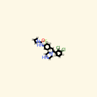 O=C(NC1CCC(CC(c2cccc(Cl)c2Cl)N2CCNCC2)CC1F)N1CCC1